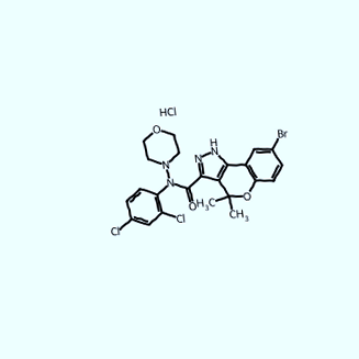 CC1(C)Oc2ccc(Br)cc2-c2[nH]nc(C(=O)N(c3ccc(Cl)cc3Cl)N3CCOCC3)c21.Cl